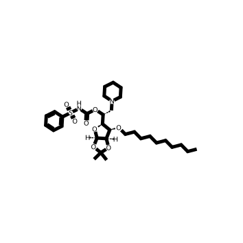 CCCCCCCCCCO[C@@H]1[C@H]2OC(C)(C)O[C@H]2O[C@@H]1[C@@H](CN1CCCCC1)OC(=O)NS(=O)(=O)c1ccccc1